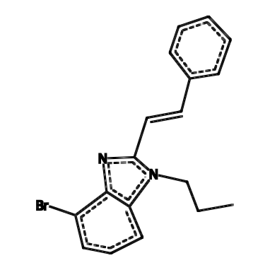 CCCn1c(C=Cc2ccccc2)nc2c(Br)cccc21